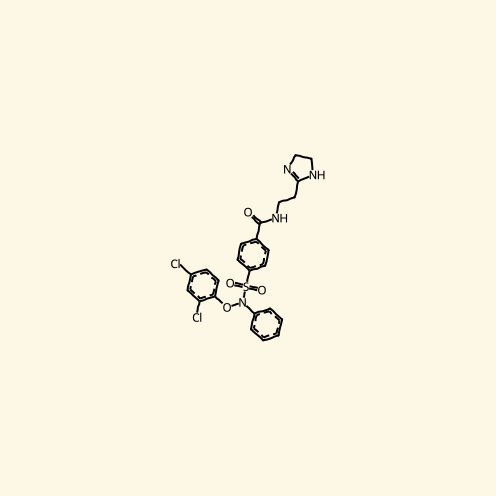 O=C(NCCC1=NCCN1)c1ccc(S(=O)(=O)N(Oc2ccc(Cl)cc2Cl)c2ccccc2)cc1